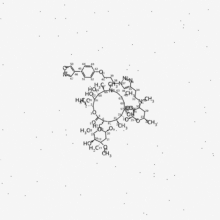 CC[C@H]1OC(=O)[C@H](C)[C@@H](O[C@H]2C[C@@](C)(OC)[C@@H](O)[C@H](C)O2)[C@H](C)[C@@H](O[C@@H]2O[C@H](C)C[C@H](N(C)CCc3cn(CCCOc4ccc(-c5cnoc5)cc4)nn3)[C@H]2O)[C@](C)(O)C[C@@H](C)CN(C)[C@H](C)[C@@H](O)[C@]1(C)O